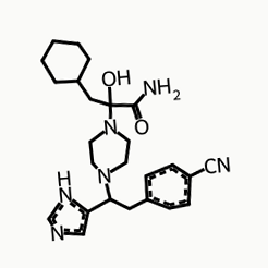 N#Cc1ccc(CC(c2cnc[nH]2)N2CCN(C(O)(CC3CCCCC3)C(N)=O)CC2)cc1